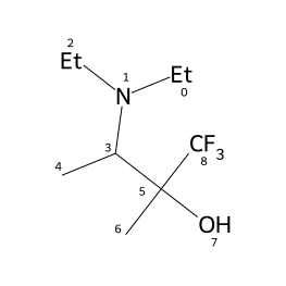 CCN(CC)C(C)C(C)(O)C(F)(F)F